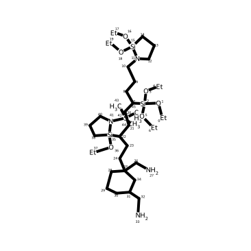 CCO[Si](OCC)(OCC)C(CCCN1CCC[Si]1(OCC)OCC)CCC(CCC1(CN)CCCC(CN)C1)[Si]1(OCC)CCCN1[Si](C)(C)C